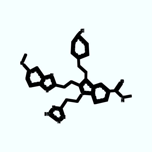 CNC(=O)c1ccc2c(c1)c(CCc1ccc(Cl)cc1)c(CCc1nc3cc(OC)ccc3s1)n2CCc1nn[nH]n1